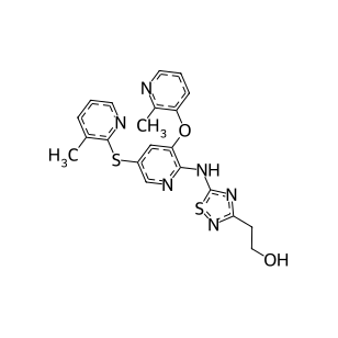 Cc1cccnc1Sc1cnc(Nc2nc(CCO)ns2)c(Oc2cccnc2C)c1